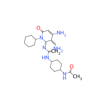 C=C(/N=C1\C(=C/N)C(N)=CC(=O)N1C1CCCCC1)NC1CCC(NC(C)=O)CC1